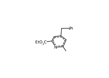 CCOC(=O)c1cc(CC(C)C)cc(C)n1